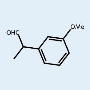 COc1cccc(C(C)[C]=O)c1